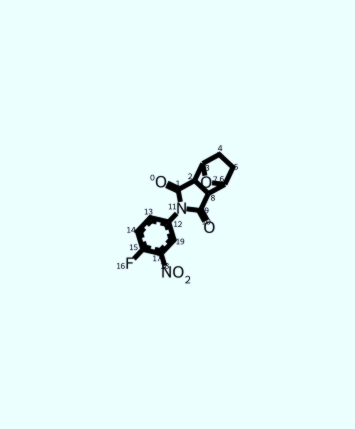 O=C1C2C3CCC(O3)C2C(=O)N1c1ccc(F)c([N+](=O)[O-])c1